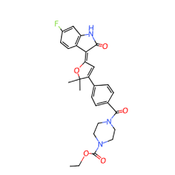 CCOC(=O)N1CCN(C(=O)c2ccc(C3=C/C(=C4\C(=O)Nc5cc(F)ccc54)OC3(C)C)cc2)CC1